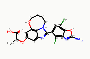 C[C@H](Oc1cc2c3c(c1)nc(-c1cc(F)c4oc(N)nc4c1F)n3CCCCO2)C(=O)O